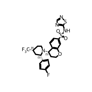 O=S(=O)(Nc1ncns1)c1ccc2c(c1)OCC[C@@H]2N1CC[C@@H](C(F)(F)F)C[C@H]1c1ccc(F)cc1